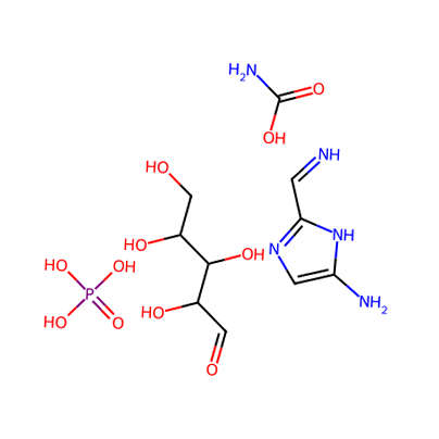 N=Cc1ncc(N)[nH]1.NC(=O)O.O=CC(O)C(O)C(O)CO.O=P(O)(O)O